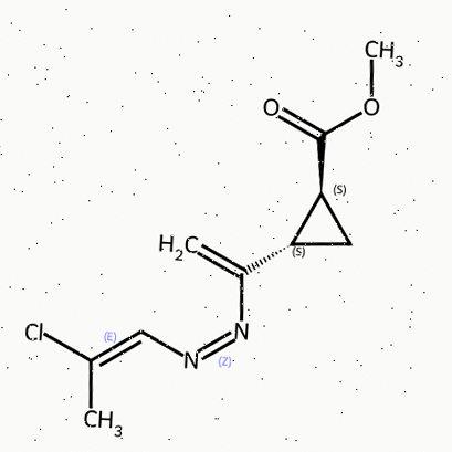 C=C(/N=N\C=C(/C)Cl)[C@H]1C[C@@H]1C(=O)OC